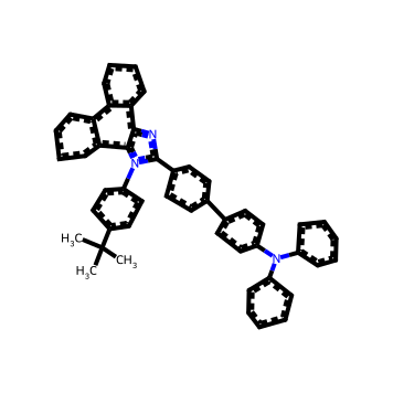 CC(C)(C)c1ccc(-n2c(-c3ccc(-c4ccc(N(c5ccccc5)c5ccccc5)cc4)cc3)nc3c4ccccc4c4ccccc4c32)cc1